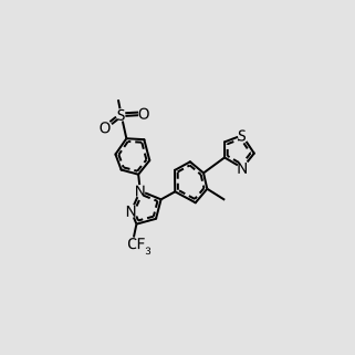 Cc1cc(-c2cc(C(F)(F)F)nn2-c2ccc(S(C)(=O)=O)cc2)ccc1-c1cscn1